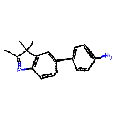 CC1=Nc2ccc(-c3ccc(N)cc3)cc2C1(C)C